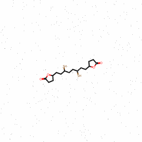 O=C1CCC(CCC(S)CCC(S)CCC2CCC(=O)O2)O1